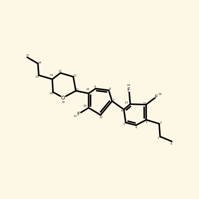 CCCc1ccc(-c2ccc(C3CCC(CCC)CO3)c(F)c2)c(F)c1F